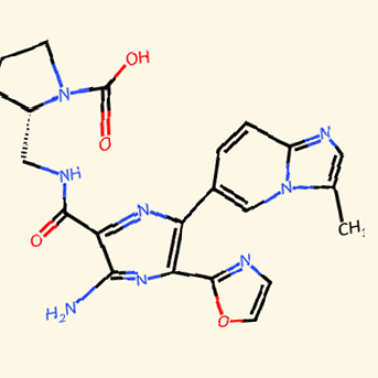 Cc1cnc2ccc(-c3nc(C(=O)NC[C@@H]4CCCN4C(=O)O)c(N)nc3-c3ncco3)cn12